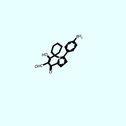 Bc1ccc(-c2ccc3n2C2(CCCCC2)C(O)=C(C=O)C3=O)cc1